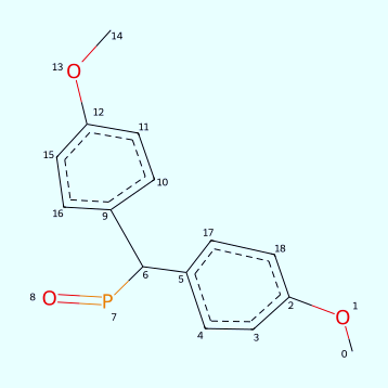 COc1ccc(C(P=O)c2ccc(OC)cc2)cc1